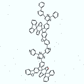 c1ccc(-c2cccc(-c3cc(-c4ccc5c(c4)C4(c6cc7oc8cc(-c9cc(-c%10nc(-c%11ccncc%11)nc(-c%11ccc%12c(c%11)-c%11cc%13c(cc%11C%12%11c%12ccccc%12C%12(c%14ccccc%14-c%14ccccc%14%12)c%12ccccc%12%11)oc%11ccccc%11%13)n%10)ccn9)ccc8c7cc6-5)c5ccccc5C5(c6ccccc6-c6ccccc65)c5ccccc54)nc(-c4ccccc4)n3)c2)cc1